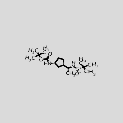 C[C@H](N[S@@+]([O-])C(C)(C)C)[C@@H]1CC[C@H](NC(=O)OC(C)(C)C)C1